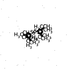 CC(C)(C)c1[c]c(SSSc2[c]c(C(C)(C)C)cc(C(C)(C)C)c2)cc(C(C)(C)C)c1